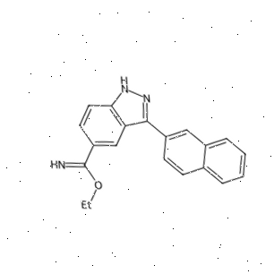 CCOC(=N)c1ccc2[nH]nc(-c3ccc4ccccc4c3)c2c1